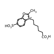 Cc1oc2cc(S(=O)(=O)O)ccc2[n+]1CCCCCC(=O)O